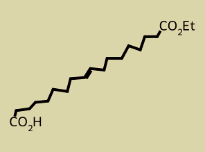 CCOC(=O)CCCCCCCC=CCCCCCCCC(=O)O